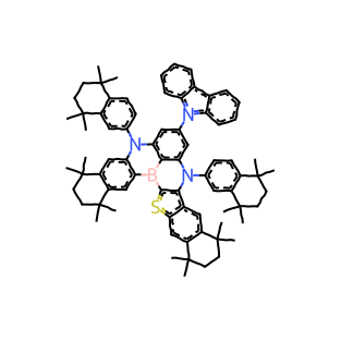 CC1(C)CCC(C)(C)c2cc(N3c4cc5c(cc4B4c6sc7cc8c(cc7c6N(c6ccc7c(c6)C(C)(C)CCC7(C)C)c6cc(-n7c9ccccc9c9ccccc97)cc3c64)C(C)(C)CCC8(C)C)C(C)(C)CCC5(C)C)ccc21